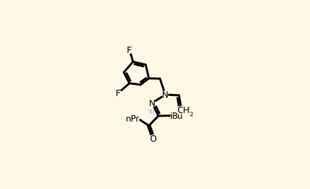 C=CN(Cc1cc(F)cc(F)c1)/N=C(/C(=O)CCC)C(C)CC